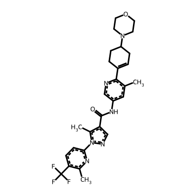 Cc1cc(NC(=O)c2cnn(-c3ccc(C(F)(F)F)c(C)n3)c2C)cnc1C1=CCC(N2CCOCC2)CC1